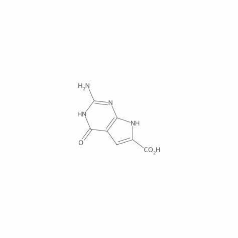 Nc1nc2[nH]c(C(=O)O)cc2c(=O)[nH]1